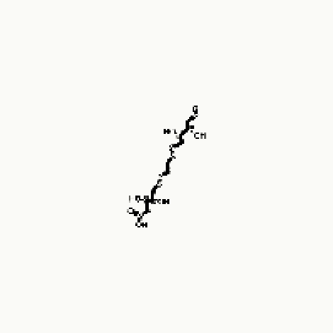 O=[S]C[C@H](O)[C@@H](O)CSSCCSSC[C@H](O)[C@@H](O)CS(=O)O